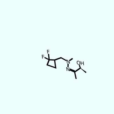 C/C(=N/N(C)CC1CCC1(F)F)[C@H](C)O